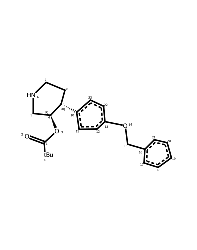 CC(C)(C)C(=O)O[C@H]1CNCC[C@@H]1c1ccc(OCc2ccccc2)cc1